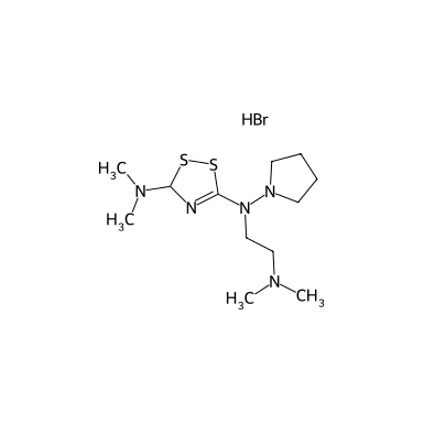 Br.CN(C)CCN(C1=NC(N(C)C)SS1)N1CCCC1